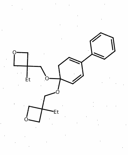 CCC1(COC2(OCC3(CC)COC3)C=CC(c3ccccc3)=CC2)COC1